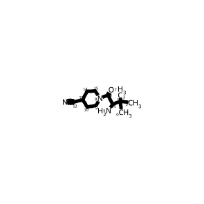 CC(C)(C)C(N)C(=O)N1CCC(C#N)CC1